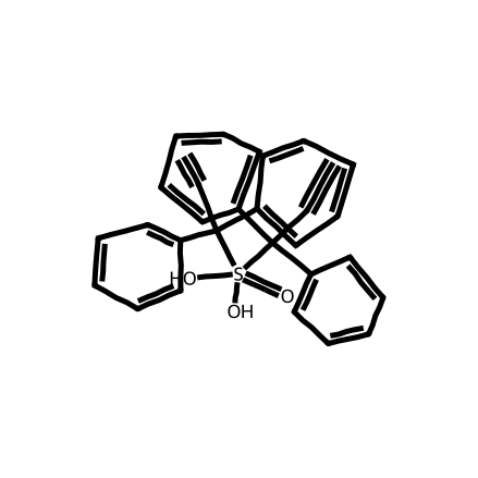 C#CC(c1ccccc1)(c1ccccc1)S(=O)(O)(O)C(C#C)(c1ccccc1)c1ccccc1